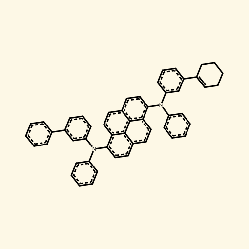 C1=C(c2cccc(N(c3ccccc3)c3ccc4ccc5c(N(c6ccccc6)c6cccc(-c7ccccc7)c6)ccc6ccc3c4c65)c2)CCCC1